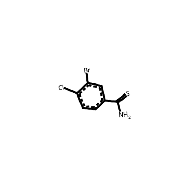 NC(=S)c1ccc(Cl)c(Br)c1